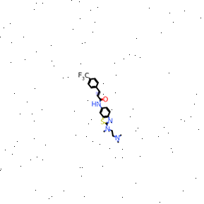 CN(C)CCN(C)c1nc2ccc(NC(=O)/C=C/c3ccc(C(F)(F)F)cc3)cc2s1